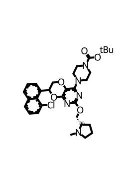 CN1CCC[C@H]1COc1nc2c(c(N3CCN(C(=O)OC(C)(C)C)CC3)n1)OCC(c1cccc3cccc(Cl)c13)O2